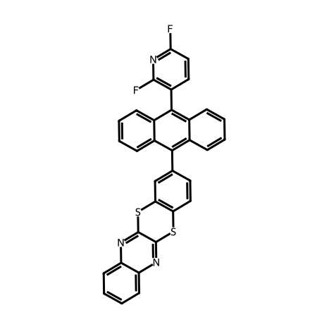 Fc1ccc(-c2c3ccccc3c(-c3ccc4c(c3)Sc3nc5ccccc5nc3S4)c3ccccc23)c(F)n1